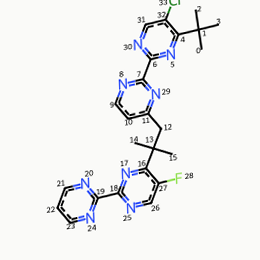 CC(C)(C)c1nc(-c2nccc(CC(C)(C)c3nc(-c4ncccn4)ncc3F)n2)ncc1Cl